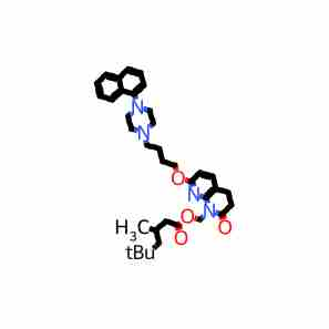 CC(CC(=O)OCN1C(=O)CCc2ccc(OCCCCN3CCN(c4cccc5ccccc45)CC3)nc21)CC(C)(C)C